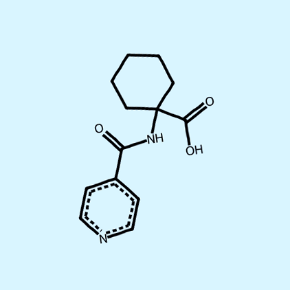 O=C(NC1(C(=O)O)CCCCC1)c1ccncc1